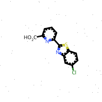 O=C(O)c1cccc(-c2nc3cc(Cl)ccc3s2)n1